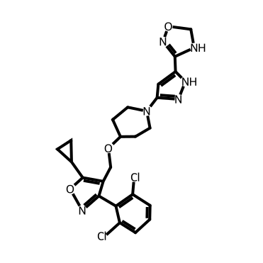 Clc1cccc(Cl)c1-c1noc(C2CC2)c1COC1CCN(c2cc(C3=NOCN3)[nH]n2)CC1